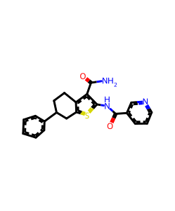 NC(=O)c1c(NC(=O)c2cccnc2)sc2c1CCC(c1ccccc1)C2